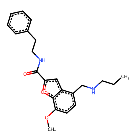 CCCNCc1ccc(OC)c2oc(C(=O)NCCc3ccccc3)cc12